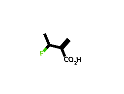 C=C(C(=O)O)C(C)F